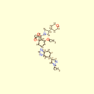 COc1cc(-n2cnc3cc(-c4cnn(C)c4)ccc32)cc(OC)c1C(=O)N1CC(C2CCOCC2)C1